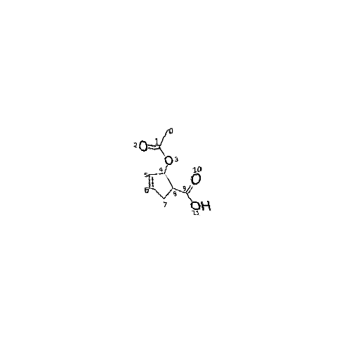 CC(=O)OC1C=CCC1C(=O)O